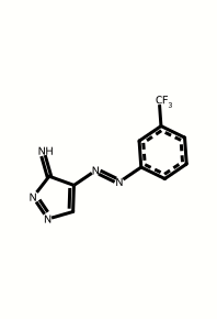 N=C1N=NC=C1N=Nc1cccc(C(F)(F)F)c1